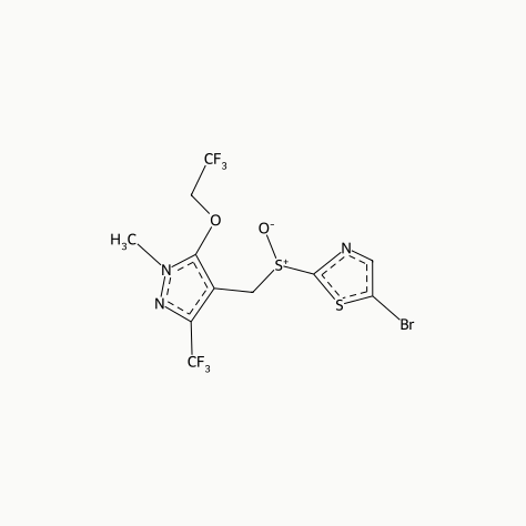 Cn1nc(C(F)(F)F)c(C[S+]([O-])c2ncc(Br)s2)c1OCC(F)(F)F